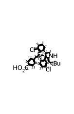 CC(C)(C)CC1NC[C@H](c2cccc(Cl)c2F)[C@]12CN(Cc1ccc(C(=O)O)cc1)c1ccc(Cl)cc12